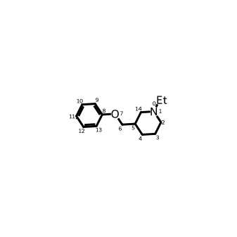 CCN1CCCC(COc2cc[c]cc2)C1